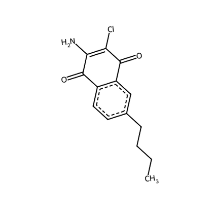 CCCCc1ccc2c(c1)C(=O)C(Cl)=C(N)C2=O